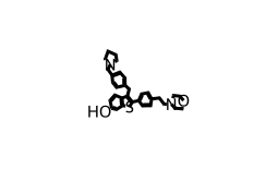 Oc1ccc2c(Cc3ccc(CN4CCCC4)cc3)c(-c3ccc(CCN4CCOCC4)cc3)sc2c1